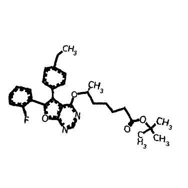 CCc1ccc(-c2c(-c3ccccc3F)oc3ncnc(O[C@H](C)CCCCC(=O)OC(C)(C)C)c23)cc1